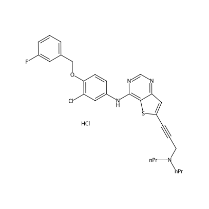 CCCN(CC#Cc1cc2ncnc(Nc3ccc(OCc4cccc(F)c4)c(Cl)c3)c2s1)CCC.Cl